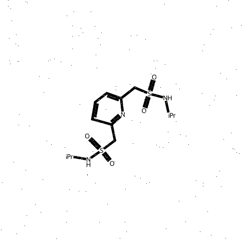 CC(C)NS(=O)(=O)Cc1cccc(CS(=O)(=O)NC(C)C)n1